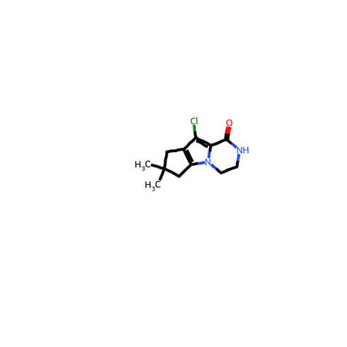 CC1(C)Cc2c(Cl)c3n(c2C1)CCNC3=O